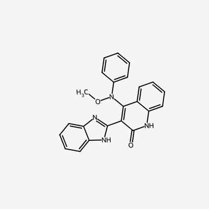 CON(c1ccccc1)c1c(-c2nc3ccccc3[nH]2)c(=O)[nH]c2ccccc12